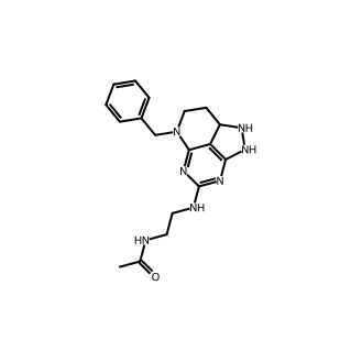 CC(=O)NCCNc1nc2c3c(n1)N(Cc1ccccc1)CCC3NN2